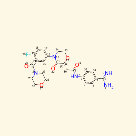 N=C(N)c1ccc(NC(=O)C[C@H]2OCCN(c3ccc(F)c(C(=O)N4CCOCC4)c3)C2=O)cc1